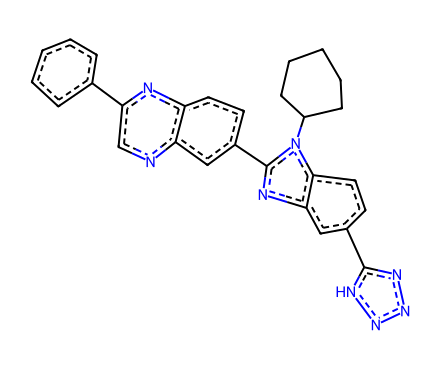 c1ccc(-c2cnc3cc(-c4nc5cc(-c6nnn[nH]6)ccc5n4C4CCCCC4)ccc3n2)cc1